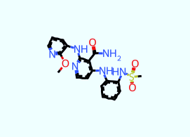 COc1ncccc1Nc1nccc(Nc2ccccc2NS(C)(=O)=O)c1C(N)=O